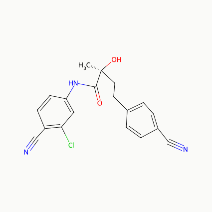 C[C@](O)(CCc1ccc(C#N)cc1)C(=O)Nc1ccc(C#N)c(Cl)c1